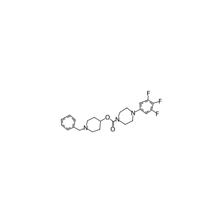 O=C(OC1CCN(Cc2ccccc2)CC1)N1CCN(c2cc(F)c(F)c(F)c2)CC1